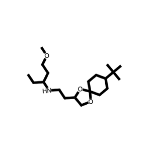 CCC(CCOC)NCCC1COC2(CCC(C(C)(C)C)CC2)O1